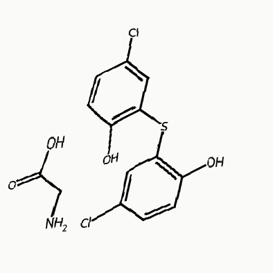 NCC(=O)O.Oc1ccc(Cl)cc1Sc1cc(Cl)ccc1O